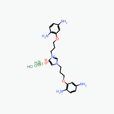 Cl.Cl.Cl.Cl.Nc1ccc(N)c(OCCCn2cc[n+](CCCOc3cc(N)ccc3N)c2)c1.O